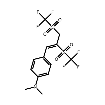 CN(C)c1ccc(C=C([C]S(=O)(=O)C(F)(F)F)S(=O)(=O)C(F)(F)F)cc1